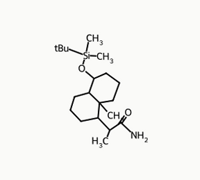 CC(C(N)=O)C1CCCC2C(O[Si](C)(C)C(C)(C)C)CCCC21C